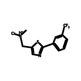 [CH2-][NH+](C)Cc1cnc(-c2cccc(C(F)(F)F)c2)s1